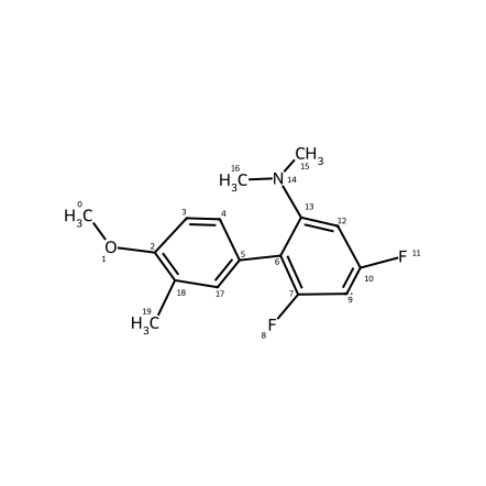 COc1ccc(-c2c(F)[c]c(F)cc2N(C)C)cc1C